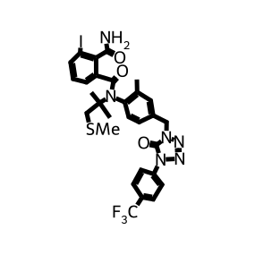 CSCC(C)(C)N(C(=O)c1cccc(I)c1C(N)=O)c1ccc(Cn2nnn(-c3ccc(C(F)(F)F)cc3)c2=O)cc1C